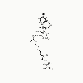 CN(CCCCCC[S+]([O-])CCCC(F)(F)C(F)(F)F)CCCCCC1=C(c2cccc(O)c2)CCCc2cc(O)ccc21